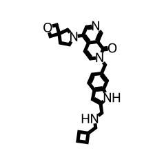 O=c1c2cncc(N3CCC4(COC4)C3)c2ccn1Cc1ccc2cc(CNCC3CCC3)[nH]c2c1